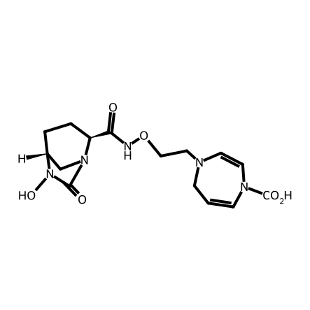 O=C(NOCCN1C=CN(C(=O)O)C=CC1)[C@@H]1CC[C@@H]2CN1C(=O)N2O